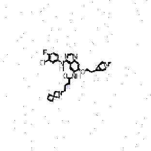 CN1CC2C(CCOc3cc4ncnc(Nc5ccc(F)c(Cl)c5)c4cc3NC(=O)/C=C/CN3CC4(CCC4)C3)C2C1